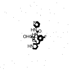 CN(C=O)OC[C@@]1(Cc2cc(F)cc(NC(=O)Nc3cccnc3)c2)CCCNC1